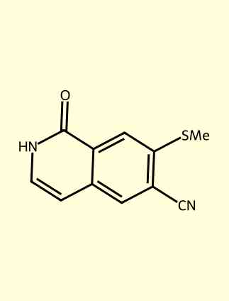 CSc1cc2c(=O)[nH]ccc2cc1C#N